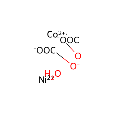 O.O=C([O-])[O-].O=C([O-])[O-].[Co+2].[Ni+2]